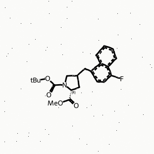 COC(=O)[C@H]1CC(Cc2ccc(F)c3ccccc23)CN1C(=O)OC(C)(C)C